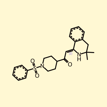 CC1(C)Cc2ccccc2/C(=C/C(=O)C2CCN(S(=O)(=O)c3ccccc3)CC2)N1